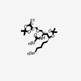 CCCCCCCCCCCCCC[C@H]1OC(C)(C)O[C@H]1[C@H](COC[C@@H]1OC(C)(C)O[C@H]1CC)NC(=O)CCCC